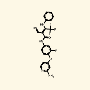 N=C/C(C(=O)Nc1ccc(Oc2ccnc(N)c2)c(F)c1)=C(\Nc1ccccc1)C(F)(F)F